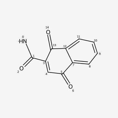 [NH]C(=O)C1=CC(=O)c2ccccc2C1=O